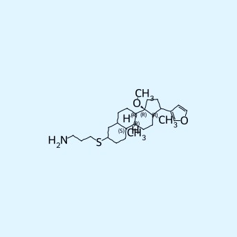 CO[C@@]12CCC(c3ccoc3)[C@@]1(C)CC[C@@H]1[C@H]2CCC2CC(SCCCN)CC[C@@]21C